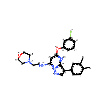 Cc1ccc(-c2cnn3c(NCCN4CCOCC4)cc(Oc4cccc(F)c4)nc23)cc1C